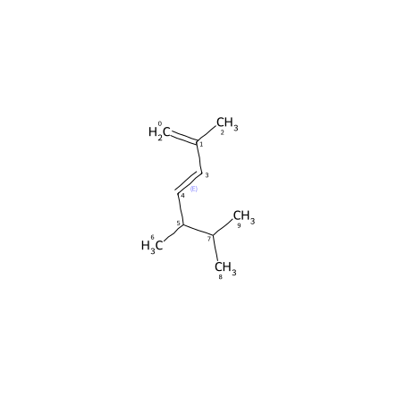 C=C(C)/C=C/C(C)C(C)C